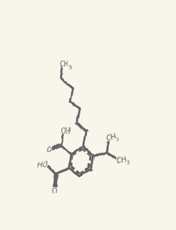 CCCCCCCc1c(C(C)C)ccc(C(=O)O)c1C(=O)O